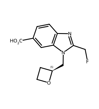 O=C(O)c1ccc2nc(CF)n(C[C@@H]3CCO3)c2c1